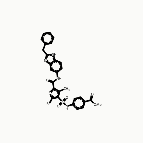 COC(=O)c1ccc(NS(=O)(=O)c2c(Br)sc(C(=O)Nc3ccc4[nH]c(Cc5ccccc5)nc4c3)c2C)cc1